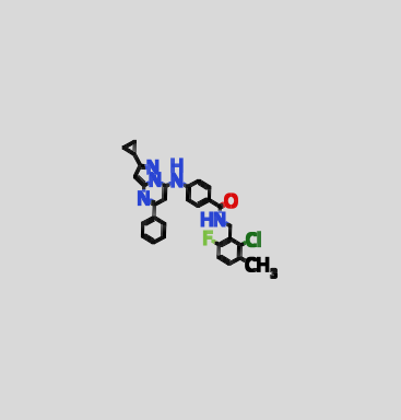 Cc1ccc(F)c(CNC(=O)c2ccc(Nc3cc(-c4ccccc4)nc4cc(C5CC5)nn34)cc2)c1Cl